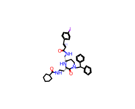 O=C(/C=C/c1ccc(I)cc1)NC[C@@H]1CCN(CC(c2ccccc2)c2ccccc2)C(=O)[C@H](CCNC(=O)C2CCCCC2)N1